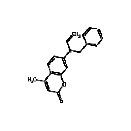 C=CN(Cc1ccccc1)c1ccc2c(C)cc(=O)oc2c1